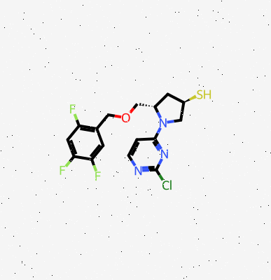 Fc1cc(F)c(COC[C@@H]2C[C@@H](S)CN2c2ccnc(Cl)n2)cc1F